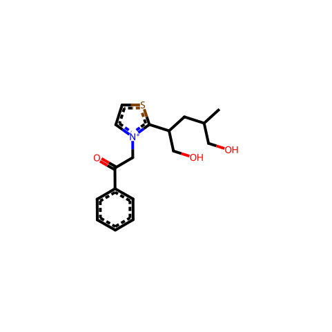 CC(CO)CC(CO)c1scc[n+]1CC(=O)c1ccccc1